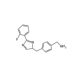 NCc1ccc(CC2C=NC(c3ccccc3F)=N2)cc1